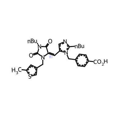 CCCCc1ncc(/C=C2\C(=O)N(CCCC)C(=O)N2Cc2csc(C)c2)n1Cc1ccc(C(=O)O)cc1